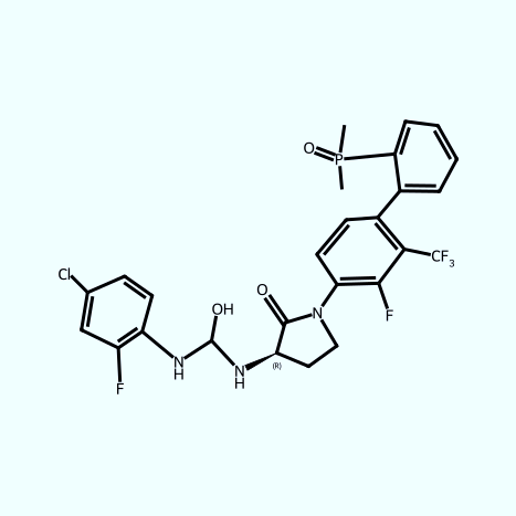 CP(C)(=O)c1ccccc1-c1ccc(N2CC[C@@H](NC(O)Nc3ccc(Cl)cc3F)C2=O)c(F)c1C(F)(F)F